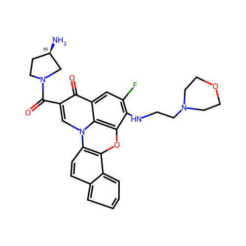 N[C@@H]1CCN(C(=O)c2cn3c4c(c(NCCN5CCOCC5)c(F)cc4c2=O)Oc2c-3ccc3ccccc23)C1